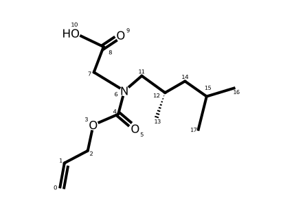 C=CCOC(=O)N(CC(=O)O)C[C@@H](C)CC(C)C